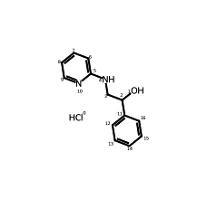 Cl.OC(CNc1ccccn1)c1ccccc1